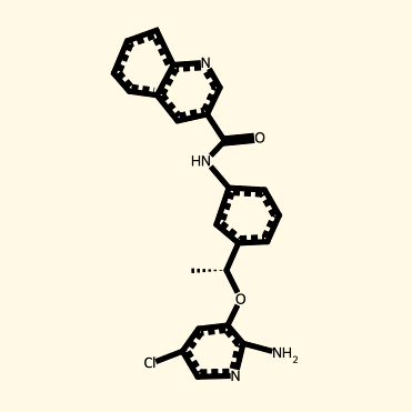 C[C@@H](Oc1cc(Cl)cnc1N)c1cccc(NC(=O)c2cnc3ccccc3c2)c1